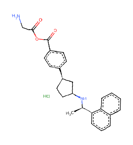 C[C@@H](N[C@H]1CC[C@@H](c2ccc(C(=O)OC(=O)CN)cc2)C1)c1cccc2ccccc12.Cl